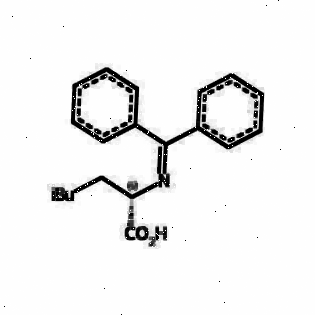 CCC(C)C[C@H](N=C(c1ccccc1)c1ccccc1)C(=O)O